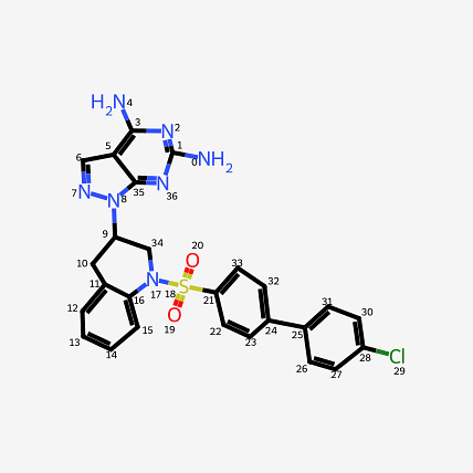 Nc1nc(N)c2cnn(C3Cc4ccccc4N(S(=O)(=O)c4ccc(-c5ccc(Cl)cc5)cc4)C3)c2n1